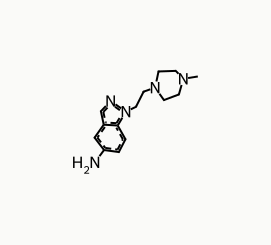 CN1CCN(CCn2ncc3cc(N)ccc32)CC1